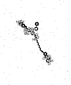 CC(C)(C)[C@H](NC(=O)c1cc2cc(C(F)(F)P(=O)(O)O)ccc2s1)C(=O)N1CCN(C(=O)CC(=O)NCCCCCCCCC#Cc2ccc3c(c2)C(=O)N(C2CCC(=O)NC2=O)C3=O)C[C@H]1C(=O)N1CCC[C@H](c2ccccc2)C1